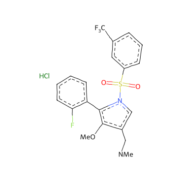 CNCc1cn(S(=O)(=O)c2cccc(C(F)(F)F)c2)c(-c2ccccc2F)c1OC.Cl